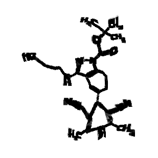 CC1=C(C#N)C(c2ccc3c(c2)c(NCCO)nn3C(=O)OC(C)(C)C)C(C#N)=C(C)N1